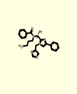 CC(C)[C@H](c1nc(-c2ccccc2)cn1Cc1cscn1)N(CCCN)C(=O)c1ccccc1